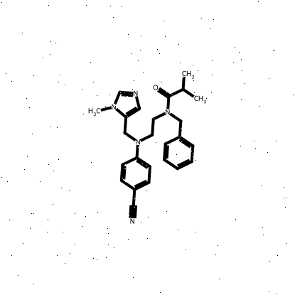 CC(C)C(=O)N(CCN(Cc1cncn1C)c1ccc(C#N)cc1)Cc1ccccc1